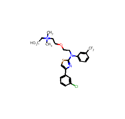 C[N+](C)(CCOCCN(c1cccc(C(F)(F)F)c1)c1nc(-c2cccc(Cl)c2)cs1)CC(=O)O